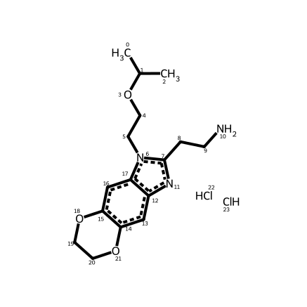 CC(C)OCCn1c(CCN)nc2cc3c(cc21)OCCO3.Cl.Cl